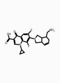 NCC1CC=CC2CN(c3c(F)cc4c(=O)c(C(=O)O)cn(C5CC5)c4c3F)CC21